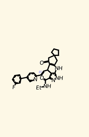 CCNC(=O)c1n[nH]c2c1C(/C=C/c1ccc(-c3cccc(F)c3)cn1)C1=C(CC3(CCCC3)CC1=O)N2